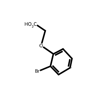 O=C(O)COc1cc[c]cc1Br